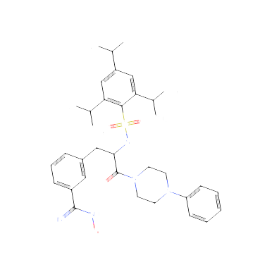 CC(C)c1cc(C(C)C)c(S(=O)(=O)NC(Cc2cccc(C(=N)NO)c2)C(=O)N2CCN(c3ccccc3)CC2)c(C(C)C)c1